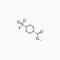 COC(=O)c1ccc(S(=O)(=O)F)cc1